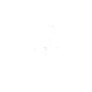 C#CCN(C=O)C(=O)CCC1(C)C=C1